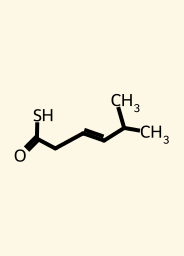 CC(C)C=CCC(=O)S